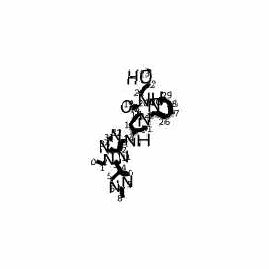 CCn1c(-c2cnc(C)nc2)nc2c(NC3C[C@H](C(=O)NCCO)N(c4ccccn4)C3)ncnc21